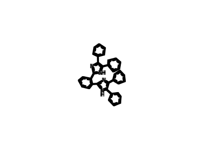 c1ccc(-c2nc(-c3ccccc3-c3nc(-c4ccccc4)c(-c4ccccc4)[nH]3)[nH]c2-c2ccccc2)cc1